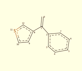 C=C(c1ccccc1)c1ccsc1